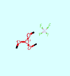 CO[O+](OC)OC.F[B-](F)(F)F